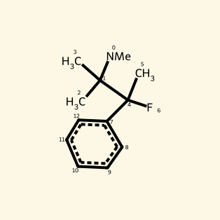 CNC(C)(C)C(C)(F)c1ccccc1